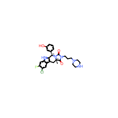 C[C@@]12Cc3c([nH]c4cc(F)c(Cl)cc34)[C@@H](c3cccc(O)c3)N1C(=O)N(CCCN1CCNCC1)C2=O